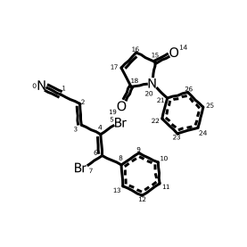 N#CC=CC(Br)=C(Br)c1ccccc1.O=C1C=CC(=O)N1c1ccccc1